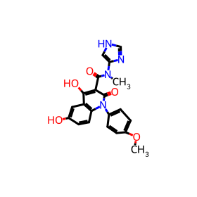 COc1ccc(-n2c(=O)c(C(=O)N(C)c3c[nH]cn3)c(O)c3cc(O)ccc32)cc1